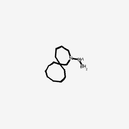 BBN1CCCCC2(CCCCCCCC2)C1